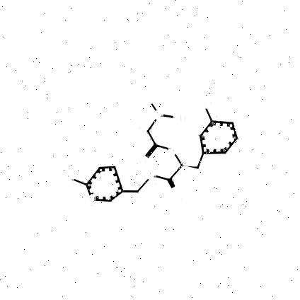 CCN(C)[C@@H](C)C(=O)N[C@@H](Cc1cccc(Cl)c1)C(=O)NCc1ccc(N)nc1